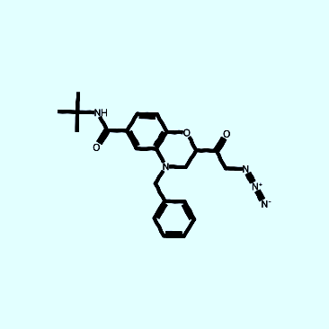 CC(C)(C)NC(=O)c1ccc2c(c1)N(Cc1ccccc1)CC(C(=O)CN=[N+]=[N-])O2